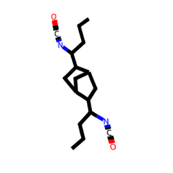 CCCC(N=C=O)C1CC2CC1CC2C(CCC)N=C=O